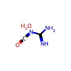 N=C(N)N=C=O.O